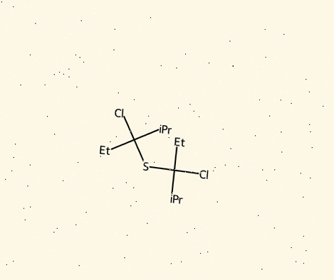 CCC(Cl)(SC(Cl)(CC)C(C)C)C(C)C